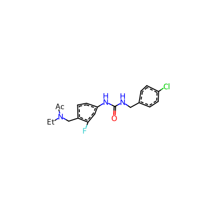 CCN(Cc1ccc(NC(=O)NCc2ccc(Cl)cc2)cc1F)C(C)=O